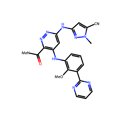 CNC(=O)c1nnc(Nc2cc(C#N)n(C)n2)cc1Nc1cccc(-c2ncccn2)c1OC